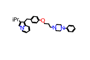 CC(C)c1cn2ccccc2c1Cc1ccc(OCCCN2CCN(c3ccccc3)CC2)cc1